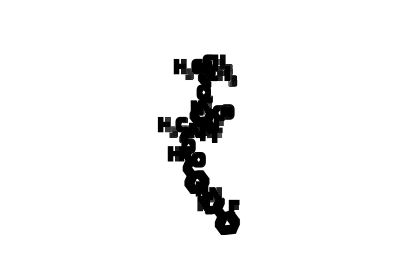 C[C@@H](CONC(=O)CC1=CCN(c2ncc(-c3ccccc3F)cn2)CC1)NC1=C(C(F)(F)F)C(=C=O)N(COCC[Si](C)(C)C)N=C1